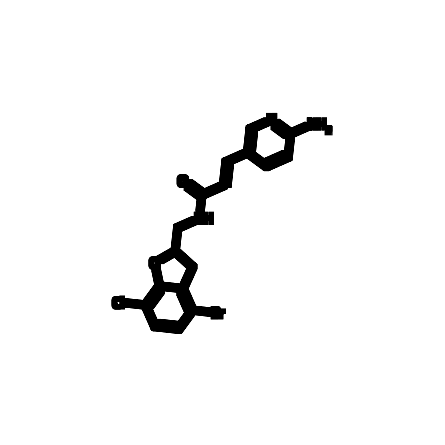 Nc1ccc(C=CC(=O)NCC2Cc3c(Br)ccc(Cl)c3O2)cn1